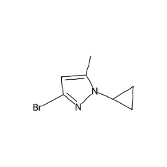 Cc1cc(Br)nn1C1CC1